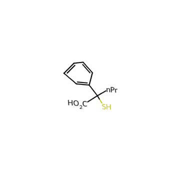 CCCC(S)(C(=O)O)c1ccccc1